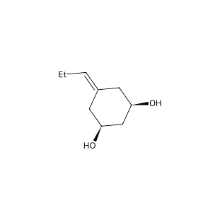 CC/C=C1/C[C@@H](O)C[C@@H](O)C1